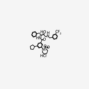 Cl.O=C(N[C@@H](Cc1ccccc1)[C@H](O)CNCc1cccc(C(F)(F)F)c1)c1cc(C2CCCC2)cc(N2CCCCS2(=O)=O)c1